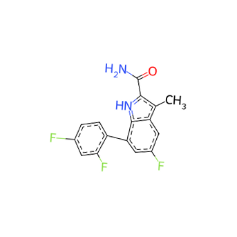 Cc1c(C(N)=O)[nH]c2c(-c3ccc(F)cc3F)cc(F)cc12